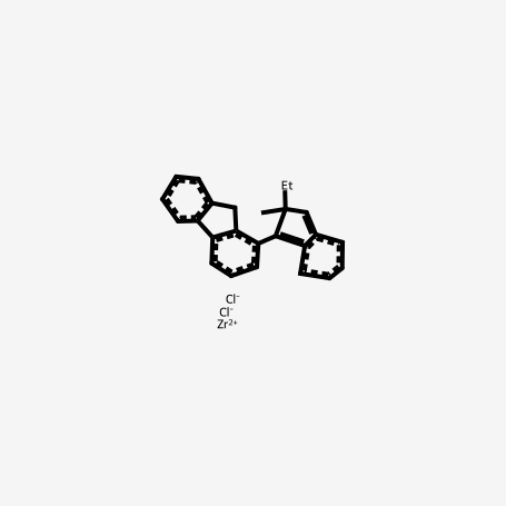 CCC1(C)C=c2ccccc2=C1c1cccc2c1Cc1ccccc1-2.[Cl-].[Cl-].[Zr+2]